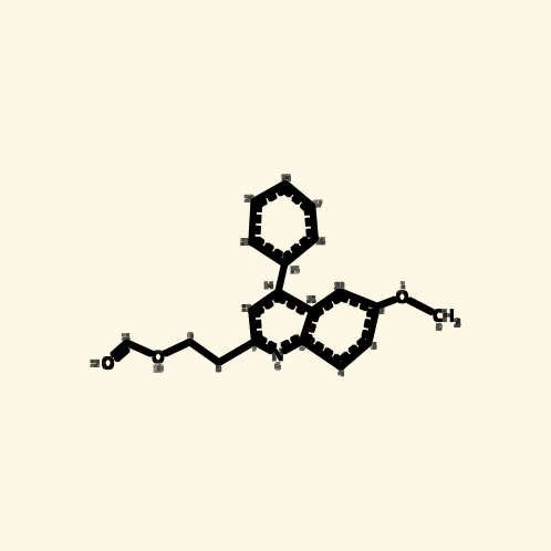 COc1ccc2nc(CCOC=O)cc(-c3ccccc3)c2c1